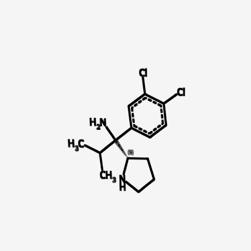 CC(C)C(N)(c1ccc(Cl)c(Cl)c1)[C@@H]1CCCN1